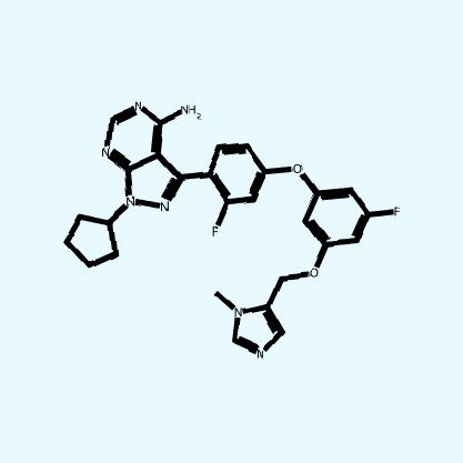 Cn1cncc1COc1cc(F)cc(Oc2ccc(-c3nn(C4CCCC4)c4ncnc(N)c34)c(F)c2)c1